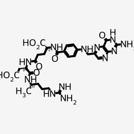 C[C@@H](CCCNC(=N)N)NC(=O)[C@@H](CC(=O)O)NC(=O)CC[C@@H](NC(=O)c1ccc(NCc2cnc3nc(N)[nH]c(=O)c3n2)cc1)C(=O)O